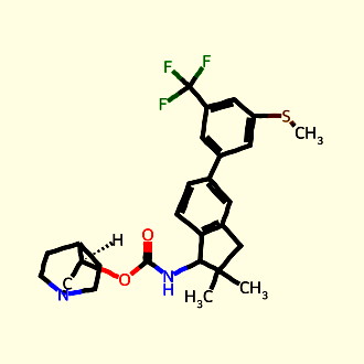 CSc1cc(-c2ccc3c(c2)CC(C)(C)C3NC(=O)O[C@H]2CN3CCC2CC3)cc(C(F)(F)F)c1